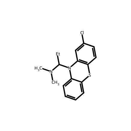 CCC(N(C)C)N1c2ccccc2Sc2ccc(Cl)cc21